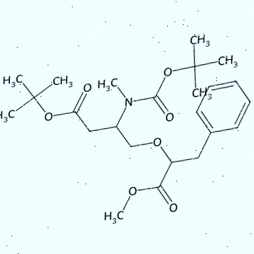 COC(=O)C(Cc1ccccc1)OCC(CC(=O)OC(C)(C)C)N(C)C(=O)OC(C)(C)C